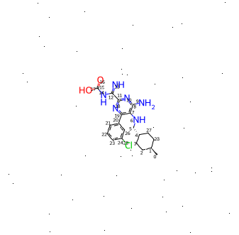 C[C@H]1CC[C@H](CNc2c(N)nc(C(=N)NC(=O)O)nc2-c2cccc(Cl)c2)CC1